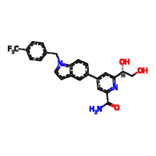 NC(=O)c1cc(-c2ccc3c(ccn3Cc3ccc(C(F)(F)F)cc3)c2)cc([C@H](O)CO)n1